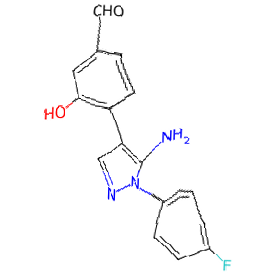 Nc1c(-c2ccc(C=O)cc2O)cnn1-c1ccc(F)cc1